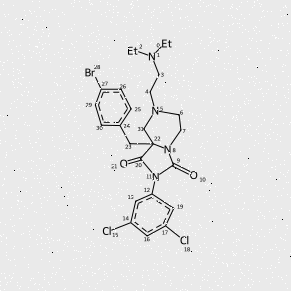 CCN(CC)CCN1CCN2C(=O)N(c3cc(Cl)cc(Cl)c3)C(=O)C2(Cc2ccc(Br)cc2)C1